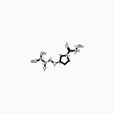 CCCN(/[N+]([O-])=N/O[C@@H]1CCN(C(=O)NC(C)(C)C)C1)C(C)(C)C